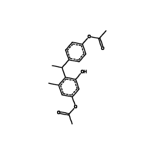 CC(=O)Oc1ccc(C(C)c2c(C)cc(OC(C)=O)cc2O)cc1